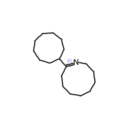 C1CCCC/C(C2CCCCCCCC2)=N\CCC1